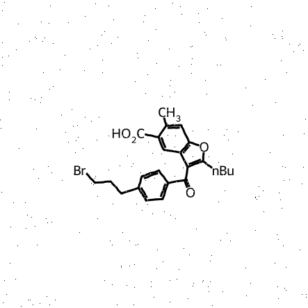 CCCCc1oc2cc(C)c(C(=O)O)cc2c1C(=O)c1ccc(CCCBr)cc1